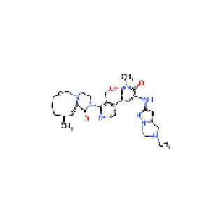 C=C1/C=C2/C(=O)N(c3nccc(-c4cc(Nc5cc6n(n5)CCN(C)C6)c(=O)n(C)c4)c3CO)CCN2CCCCC1